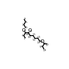 CCCCOC(CC)C(=O)CCCCCOC(C)CC